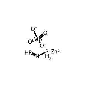 P=NP.[O]=[Mo](=[O])([O-])[O-].[Zn+2]